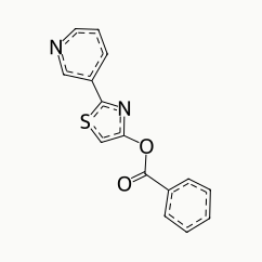 O=C(Oc1csc(-c2cccnc2)n1)c1ccccc1